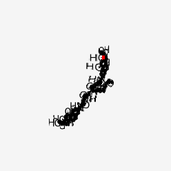 COC(C)CCOC(C)CC(=O)N[C@@H](CCC(=O)NCC(=O)N/N=C1\C=C[C@@]2(C)C(=C1)CC[C@H]1[C@@H]3C[C@@H](C)[C@](O)(C(=O)CO)[C@@]3(C)C[C@H](O)[C@@]12F)C(=O)NCC(=O)N/N=C1\C=C[C@@]2(C)C(=C1)CC[C@H]1[C@@H]3C[C@@H](C)[C@](O)(C(=O)CO)[C@@]3(C)C[C@H](O)[C@@]12F